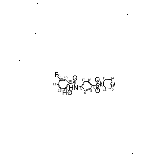 O=C(Nc1ccc(S(=O)(=O)N2CCOCC2)cc1)c1cc(F)ccc1O